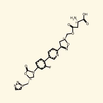 N[C@@H](CC(=O)OC[C@@H]1CC(c2ccc(-c3ccc(N4C[C@H](Cn5ccnn5)OC4=O)cc3F)cn2)=NO1)C(=O)O